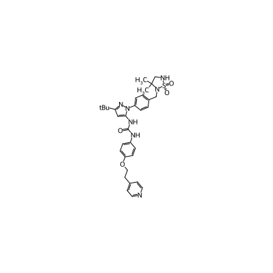 CC(C)(C)c1cc(NC(=O)Nc2ccc(OCCc3ccncc3)cc2)n(-c2ccc(CN3C(C)(C)CNS3(=O)=O)cc2)n1